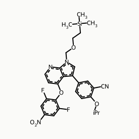 CC(C)Oc1ccc(-c2cn(COCC[Si](C)(C)C)c3nccc(Oc4c(F)cc([N+](=O)[O-])cc4F)c23)cc1C#N